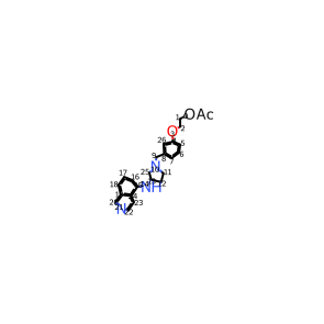 CC(=O)OCCOc1cccc(CN2CCC(Nc3cccc4cnccc34)C2)c1